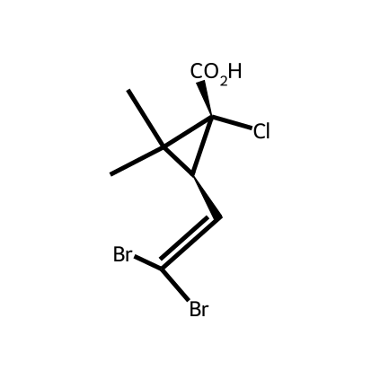 CC1(C)[C@H](C=C(Br)Br)[C@]1(Cl)C(=O)O